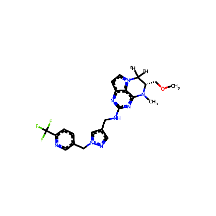 [2H]C1([2H])[C@H](COC)N(C)c2nc(NCc3cnn(Cc4ccc(C(F)(F)F)nc4)c3)nc3ccn1c23